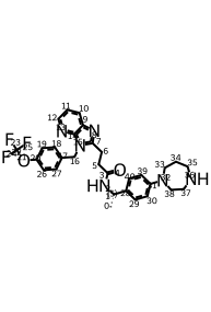 C[C@H](NC(=O)CCc1nc2cccnc2n1Cc1ccc(OC(F)(F)F)cc1)c1ccc(N2CCCNCC2)cc1